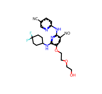 N#Cc1ccc(Nc2nc(NC3CCC(F)(F)CC3)c(OCCOCCO)cc2N=O)nc1